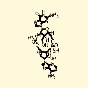 Nc1nc2c(ncn2[C@@H]2O[C@@H]3CO[P@@](=O)(S)O[C@@H]4[C@@H](CO[P@](=O)(S)O[C@@H]2[C@@H]3CO)C[C@@H](n2cnc3c(N)ncnc32)[C@@H]4O)c(=O)[nH]1